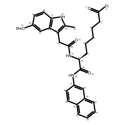 CCC(=O)CCCCC[C@H](NC(=O)Cc1c(C)[nH]c2ccc(OC)cc12)C(=O)Nc1ccc2ccccc2c1